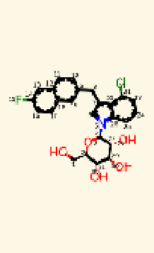 OC[C@H]1O[C@@H](n2cc(Cc3ccc4cc(F)ccc4c3)c3c(Cl)cccc32)[C@H](O)[C@@H](O)[C@@H]1O